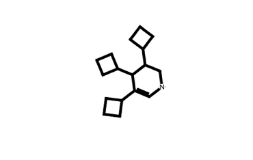 C1=C(C2CCC2)C(C2CCC2)C(C2CCC2)C[N]1